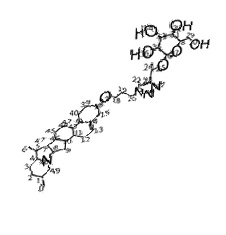 C[C@H]1CCC2[C@@H](C)C3C(CC4C5CC=C6C[C@@H](OCCCn7cc(CO[C@@H]8OC(CO)[C@H](O)[C@H](O)C8O)nn7)CC[C@]6(C)C5CC[C@@]43C)N2C1